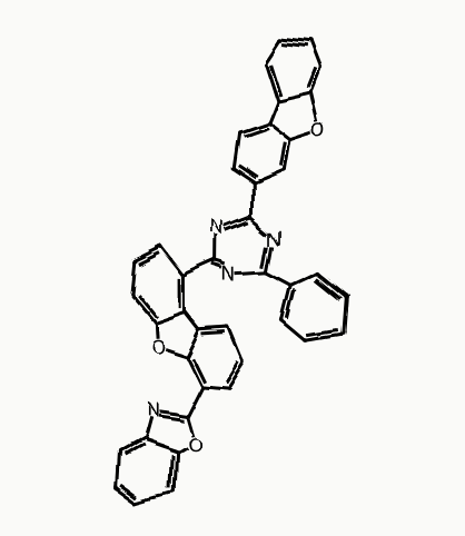 c1ccc(-c2nc(-c3ccc4c(c3)oc3ccccc34)nc(-c3cccc4oc5c(-c6nc7ccccc7o6)cccc5c34)n2)cc1